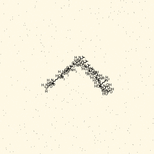 CC(C)C[C@H](N)C(=O)O.CC(C)C[C@H](N)C(=O)O.CC(C)[C@H](N)C(=O)O.CC(C)[C@H](N)C(=O)O.CC(C)[C@H](N)C(=O)O.CC(C)[C@H](N)C(=O)O.C[C@H](N)C(=O)O.C[C@H](N)C(=O)O.NCC(=O)O.NCC(=O)O.NCC(=O)O.NCCCC[C@H](N)C(=O)O.NCCCC[C@H](N)C(=O)O.N[C@@H](CC(=O)O)C(=O)O.N[C@@H](CO)C(=O)O.N[C@@H](CS)C(=O)O